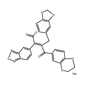 O=C([O-])/C(=C(\Cc1ccc2c(c1)OCO2)C(=O)c1ccc2c(c1)OCCO2)c1ccc2nsnc2c1.[Na+]